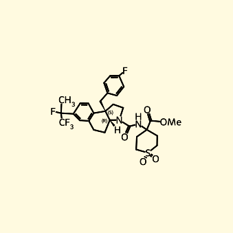 COC(=O)C1(NC(=O)N2CC[C@@]3(Cc4ccc(F)cc4)c4ccc(C(C)(F)C(F)(F)F)cc4CC[C@@H]23)CCS(=O)(=O)CC1